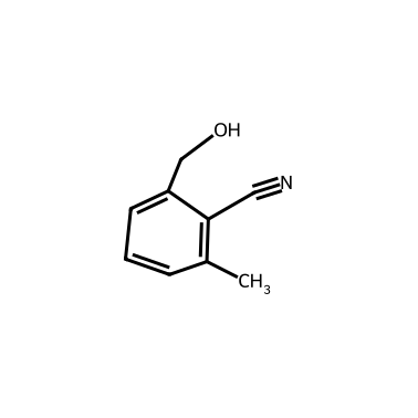 Cc1cccc(CO)c1C#N